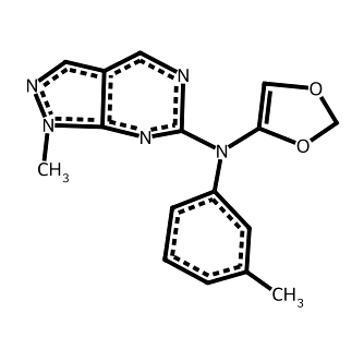 Cc1cccc(N(C2=COCO2)c2ncc3cnn(C)c3n2)c1